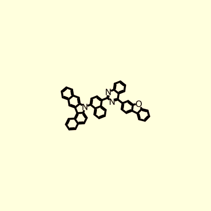 c1ccc2cc3c(cc2c1)c1c2ccccc2ccc1n3-c1ccc(-c2nc(-c3ccc4c(c3)oc3ccccc34)c3ccccc3n2)c2ccccc12